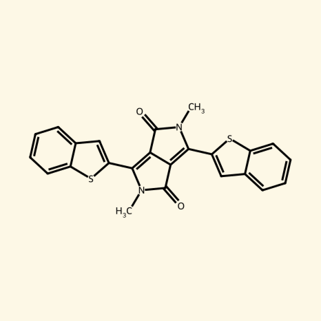 CN1C(=O)C2=C(c3cc4ccccc4s3)N(C)C(=O)C2=C1c1cc2ccccc2s1